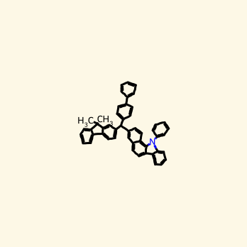 CC1(C)c2ccccc2-c2ccc(C(c3ccc(-c4ccccc4)cc3)c3ccc4c(ccc5c6ccccc6n(-c6ccccc6)c45)c3)cc21